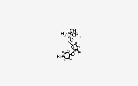 CC(C)(C)COCc1ccc(F)c(Oc2ccc(Br)cc2)n1